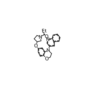 CCC(=O)N1CCC(Oc2ccc3c(c2)N(c2cnc4ccccc4c2)CCO3)C1